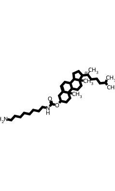 CC(C)CCC[C@@H](C)C1CCC2C3CC=C4CC(OC(=O)NCCCCCCCCN)CCC4(C)C3CCC21C